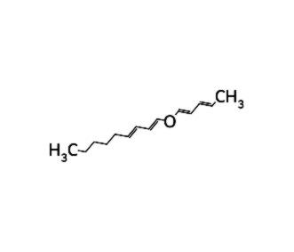 CC=CC=COC=CC=CCCCCC